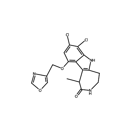 CC1C(=O)NCCc2[nH]c3c(Cl)c(Cl)cc(OCc4cocn4)c3c21